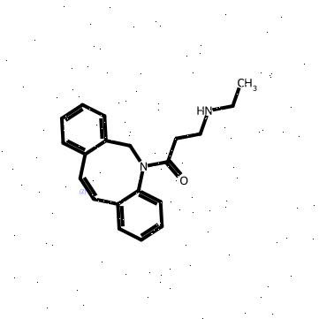 CCNCCC(=O)N1Cc2ccccc2/C=C\c2ccccc21